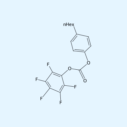 CCCCCCc1ccc(OC(=O)Oc2c(F)c(F)c(F)c(F)c2F)cc1